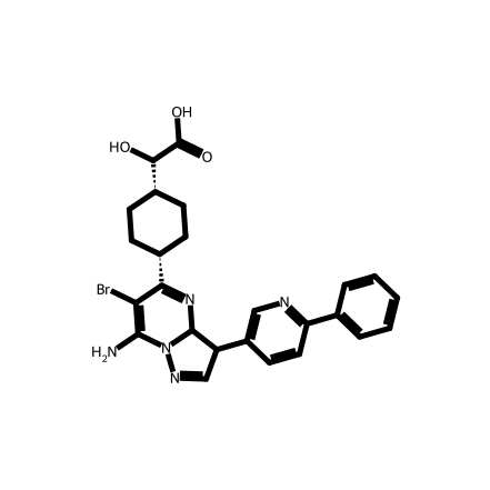 NC1=C(Br)C([C@H]2CC[C@@H](C(O)C(=O)O)CC2)=NC2C(c3ccc(-c4ccccc4)nc3)C=NN12